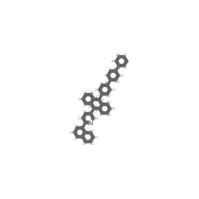 c1ccc(-c2ccc(-c3ccc(-c4c5ccccc5c(-c5ccc(-c6cccc7ccccc67)nc5)c5ccccc45)cc3)cc2)cc1